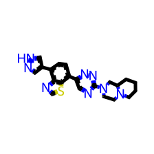 c1nc2c(-c3cn[nH]c3)ccc(-c3cnc(N4CCN5CCCCC5C4)nn3)c2s1